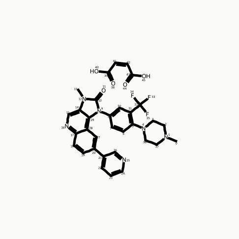 CN1CCN(c2ccc(-n3c(=O)n(C)c4cnc5ccc(-c6cccnc6)cc5c43)cc2C(F)(F)F)CC1.O=C(O)/C=C\C(=O)O